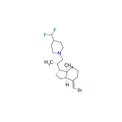 C[C@H](CN1CCC(C(F)F)CC1)[C@H]1CC[C@@H]2/C(=C/Br)CCC[C@@]21C